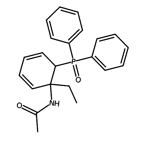 CCC1(NC(C)=O)C=CC=CC1P(=O)(c1ccccc1)c1ccccc1